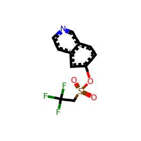 O=S(=O)(CC(F)(F)F)Oc1ccc2cnccc2c1